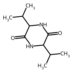 CC(C)C1NC(=O)C(C(C)C)NC1=O